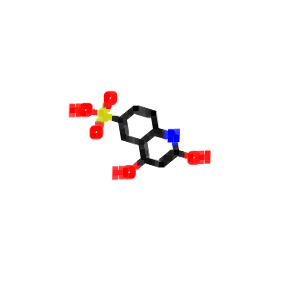 O=S(=O)(O)c1ccc2nc(O)cc(O)c2c1